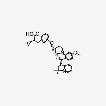 COc1ccc(C(=O)N(CC(C)(C)C)c2ccccn2)c(N2CC[C@H](COc3cccc(CC(C(=O)O)C4CC4)c3)[C@@H](C)C2)c1